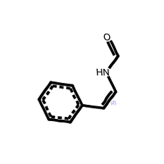 O=CN/C=C\c1ccccc1